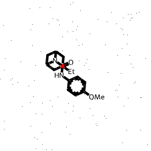 CCN1CC2CC(C1)N2C(=O)Nc1ccc(OC)cc1